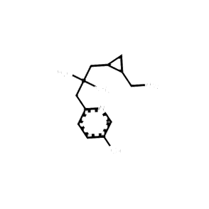 Cc1ccc(CC(C)(C)CC2CC2CC(C)(C)C)nc1